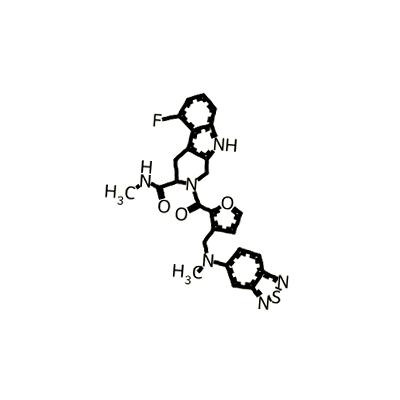 CNC(=O)C1Cc2c([nH]c3cccc(F)c23)CN1C(=O)c1occc1CN(C)c1ccc2nsnc2c1